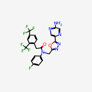 Nc1cnc(-c2nnc(CN(C(=O)Cc3ccc(C(F)(F)F)cc3C(F)(F)F)c3ccc(F)cc3)o2)cn1